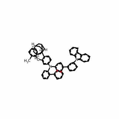 Cc1ccccc1Oc1cc(N(c2ccc(-c3cccc(-n4c5ccccc5c5ccccc54)c3)cc2)c2ccccc2-c2ccccc2)ccc1C1CC2C[C@H]3C[C@@H]2C[C@H]1C3